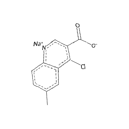 Cc1ccc2ncc(C(=O)[O-])c(Cl)c2c1.[Na+]